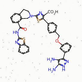 Nc1[nH]nc(-c2cccc(OCc3ccc(-c4sc(N5CCc6cccc(C(=O)Nc7nc8ccccc8s7)c6C5)nc4C(=O)O)cc3)c2)c1N